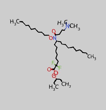 CCCCCCCCCCON(C(=O)CCCN(C)C)C(CCCCCCCCCC)CCCCCCC(F)(F)C(=O)OOC(CC)CC